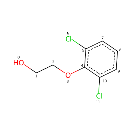 OCCOc1c(Cl)cccc1Cl